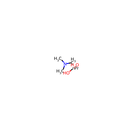 CCCO.CN(C)C.O